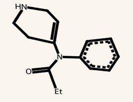 CCC(=O)N(C1=CCNCC1)c1ccccc1